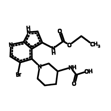 CCOC(=O)Nc1c[nH]c2ncc(Br)c(N3CCCC(NC(=O)O)C3)c12